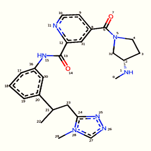 CN[C@H]1CCN(C(=O)c2ccnc(C(=O)Nc3cccc(C(C)Cc4nncn4C)c3)c2)C1